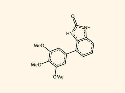 COc1cc(-c2cccc3[nH]c(=O)[nH]c23)cc(OC)c1OC